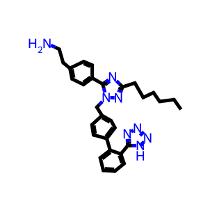 CCCCCCc1nc(-c2ccc(CCN)cc2)n(Cc2ccc(-c3ccccc3-c3nnn[nH]3)cc2)n1